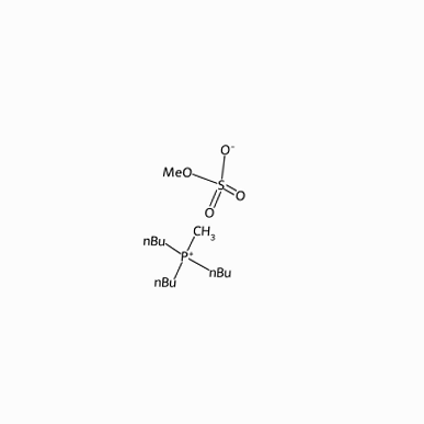 CCCC[P+](C)(CCCC)CCCC.COS(=O)(=O)[O-]